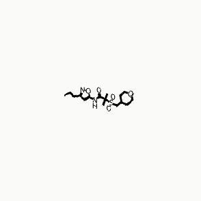 CCCc1cc(NC(=O)C(C)(C)S(=O)(=O)CC2CCOCC2)on1